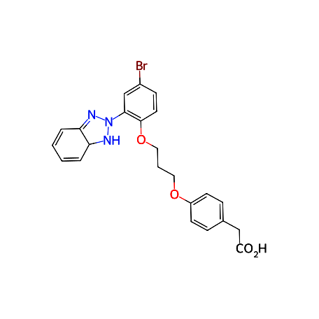 O=C(O)Cc1ccc(OCCCOc2ccc(Br)cc2N2N=C3C=CC=CC3N2)cc1